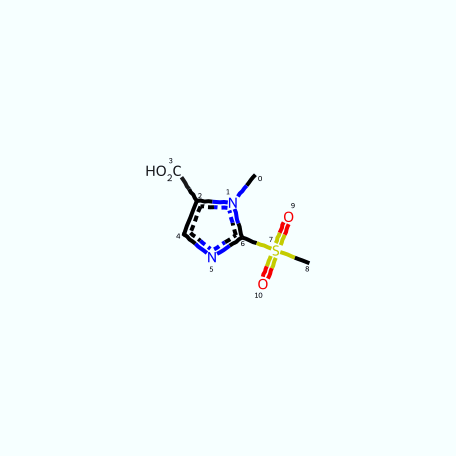 Cn1c(C(=O)O)cnc1S(C)(=O)=O